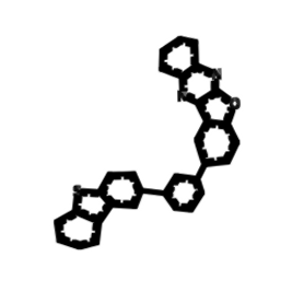 c1cc(-c2ccc3sc4ccccc4c3c2)cc(-c2ccc3oc4nc5ccccc5nc4c3c2)c1